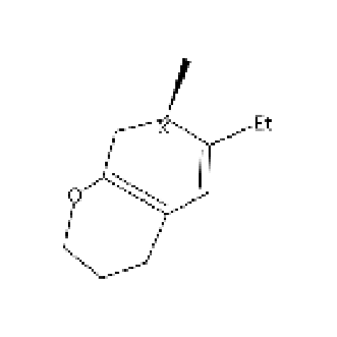 CCC1=CC2=C(C[C@H]1C)OCCC2